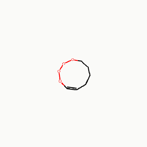 C1=C\OOOOCCCC/1